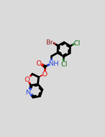 O=C(NCc1c(Cl)cc(Cl)cc1Br)O[C@@H]1COc2ncccc21